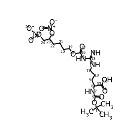 CC(C)(C)OC(=O)NC(CCCNC(=N)NC(=O)OCCCCC(CO[N+](=O)[O-])O[N+](=O)[O-])C(=O)O